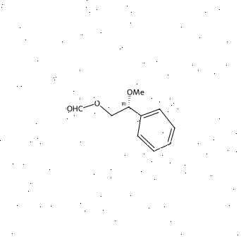 CO[C@@H](CO[C]=O)c1ccccc1